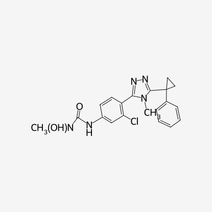 CN(O)C(=O)Nc1ccc(-c2nnc(C3(c4ccccc4)CC3)n2C)c(Cl)c1